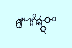 Cc1ccc(-n2nc(C(=O)NCCNC3C4CC5CC(C4)CC3C5)c(C)c2-c2ccc(Cl)cc2)cc1